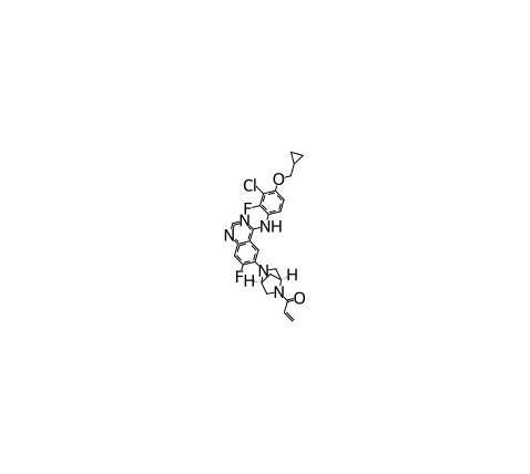 C=CC(=O)N1C[C@@H]2C[C@H]1CN2c1cc2c(Nc3ccc(OCC4CC4)c(Cl)c3F)ncnc2cc1F